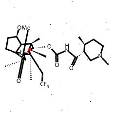 CO[C@@H]1CCC23CC[C@@H](C)[C@](C)(C12)[C@H](OC(=O)NC(=O)[C@H]1CN(C)CC[C@@H]1C)C[C@@](C)(CC(F)(F)F)C(=O)[C@@H]3C